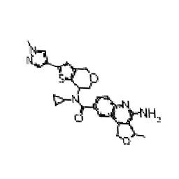 CC1OCc2c1c(N)nc1ccc(C(=O)N(C3CC3)C3COCc4cc(-c5cnn(C)c5)sc43)cc21